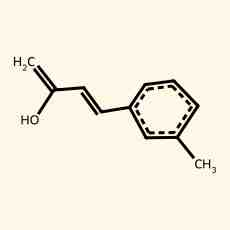 C=C(O)/C=C/c1cccc(C)c1